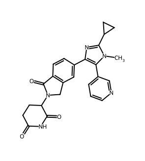 Cn1c(C2CC2)nc(-c2ccc3c(c2)CN(C2CCC(=O)NC2=O)C3=O)c1-c1cccnc1